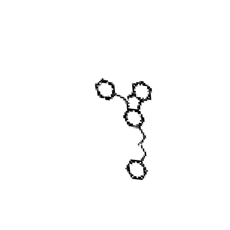 c1ccc(COCc2ccc3c(c2)c2ccccc2n3-c2ccccc2)cc1